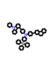 c1ccc(-n2c3ccccc3c3c(-c4ccc(N(c5ccc(-c6ccc7c(ccc8ccccc87)c6)cc5)c5ccc([Si](c6ccccc6)(c6ccccc6)c6ccccc6)cc5)cc4)cccc32)cc1